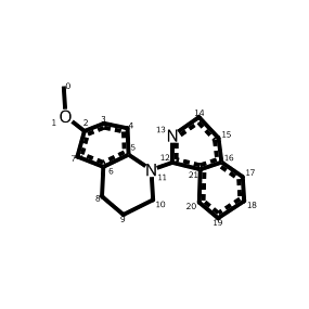 COc1ccc2c(c1)CCCN2c1nccc2ccccc12